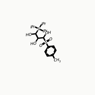 Cc1ccc(S(=O)(=O)C(O)C(O)C(O)[Si](C(C)C)(C(C)C)C(C)C)cc1